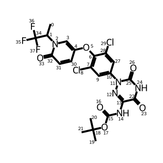 CC(n1cc(Oc2c(Cl)cc(-n3nc(NC(=O)OC(C)(C)C)c(=O)[nH]c3=O)cc2Cl)ccc1=O)C(F)(F)F